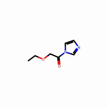 CCOCC(=O)n1[c]ncc1